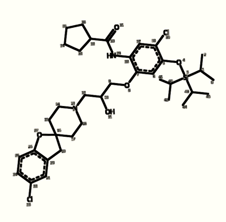 CC(C)[Si](Oc1cc(OCC(O)CN2CCC3(CC2)Cc2cc(Cl)ccc2O3)c(NC(=O)C2CCCC2)cc1Cl)(C(C)C)C(C)C